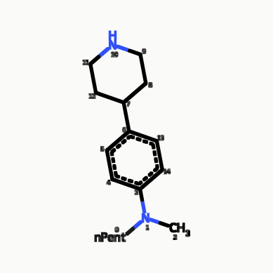 CCCCCN(C)c1ccc(C2CCNCC2)cc1